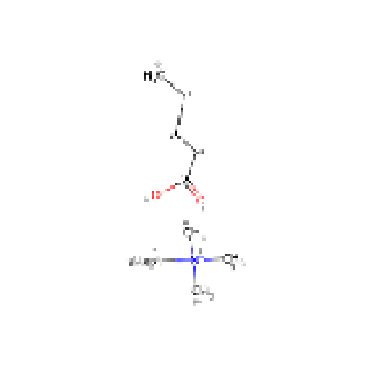 CCCCC(=O)[O-].CCCCCCC[N+](C)(C)C